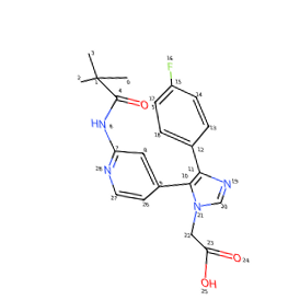 CC(C)(C)C(=O)Nc1cc(-c2c(-c3ccc(F)cc3)ncn2CC(=O)O)ccn1